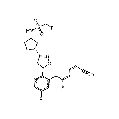 C#C/C=C\C=C(\F)Cc1cc(Br)cnc1C1CC(N2CC[C@H](NS(=O)(=O)CF)C2)=NO1